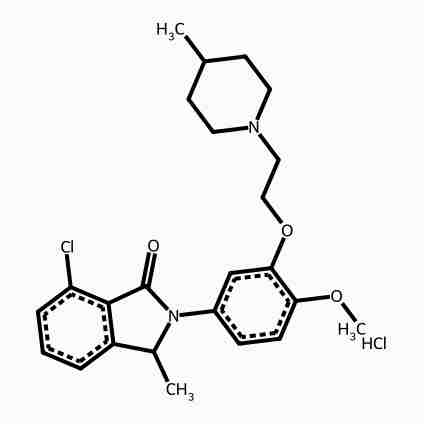 COc1ccc(N2C(=O)c3c(Cl)cccc3C2C)cc1OCCN1CCC(C)CC1.Cl